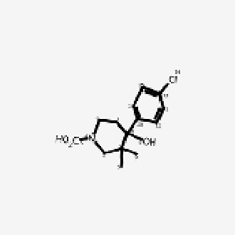 CC1(C)CN(C(=O)O)CCC1(O)c1ccc(Cl)cc1